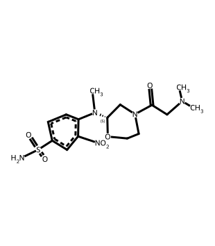 CN(C)CC(=O)N1CCO[C@H](N(C)c2ccc(S(N)(=O)=O)cc2[N+](=O)[O-])C1